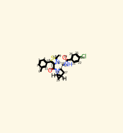 Cc1cccc(-c2sc(C)nc2C(=O)N2[C@H](CNC(=O)c3ccc(Cl)cc3)C[C@@H]3C[C@@H]32)c1